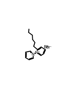 CCCCCCc1cccc[n+]1-[n+]1ccccc1.[Br-].[Br-]